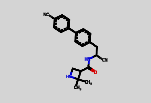 CC1(C)NCC1C(=O)NC(C#N)Cc1ccc(-c2ccc(C#N)cc2)cc1